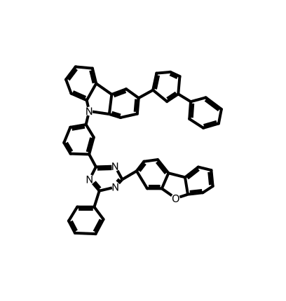 c1ccc(-c2cccc(-c3ccc4c(c3)c3ccccc3n4-c3cccc(-c4nc(-c5ccccc5)nc(-c5ccc6c(c5)oc5ccccc56)n4)c3)c2)cc1